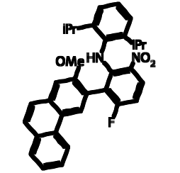 COc1cc2ccc3ccccc3c2cc1-c1c(F)ccc([N+](=O)[O-])c1Nc1c(C(C)C)cccc1C(C)C